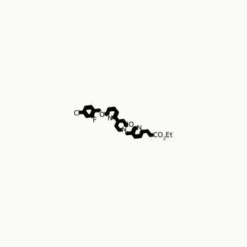 CCOC(=O)CCc1ccc(CN2CCC(c3cccc(OCc4ccc(Cl)cc4F)n3)CC2)c(O)n1